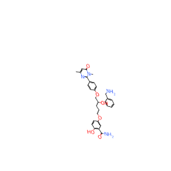 Cc1cc(=O)n(C)c(-c2ccc(OCC(O)CCCOc3ccc(O)c(C(N)=O)c3)cc2)n1.NCc1ccccc1